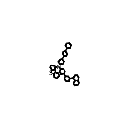 c1ccc(-c2ccc(-c3ccc(N(c4ccc(-c5cccc(-c6cccc7ccccc67)c5)cc4)c4cccc5sc6ccccc6c45)cc3)cc2)cc1